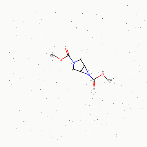 CC(C)(C)OC(=O)N1CC2C(C1)N2C(=O)OC(C)(C)C